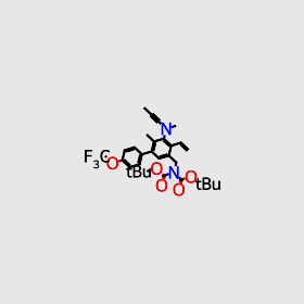 C=Cc1c(CN(C(=O)OC(C)(C)C)C(=O)OC(C)(C)C)cc(-c2ccc(OC(F)(F)F)cc2)c(C)c1N(C)C#CC